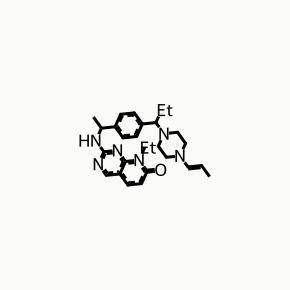 CC=CN1CCN(C(CC)c2ccc(C(C)Nc3ncc4ccc(=O)n(CC)c4n3)cc2)CC1